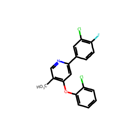 O=C(O)c1cnc(-c2ccc(F)c(Cl)c2)cc1Oc1ccccc1Cl